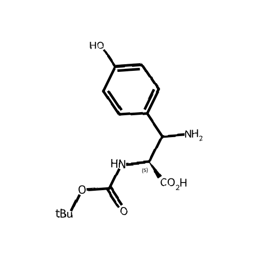 CC(C)(C)OC(=O)N[C@H](C(=O)O)C(N)c1ccc(O)cc1